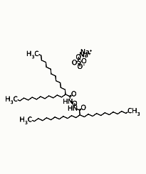 CCCCCCCCCCCCC(CCCCCCCCCCCC)C(=O)NONC(=O)C(CCCCCCCCCCCC)CCCCCCCCCCCC.O=S(=O)([O-])[O-].[Na+].[Na+]